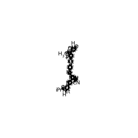 CCC1(NC(=O)C(C)C)CCN(c2ccc(-c3nc(-c4cnn([C@H]5CC[C@@H](N6CCN(c7ccc8c(N9CCC(=O)NC9=O)nn(C)c8c7F)CC6)CC5)c4)cn4ncc(C#N)c34)cn2)CC1